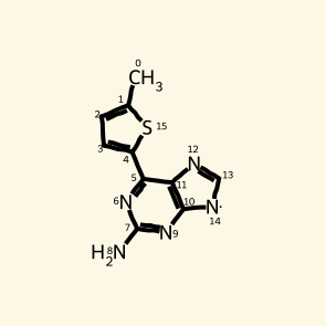 Cc1ccc(-c2nc(N)nc3c2N=C[N]3)s1